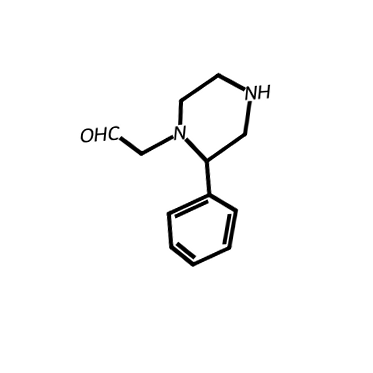 O=CCN1CCNCC1c1ccccc1